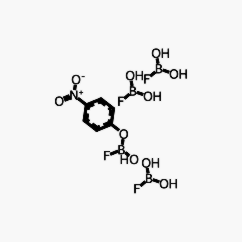 O=[N+]([O-])c1ccc(OB(O)F)cc1.OB(O)F.OB(O)F.OB(O)F